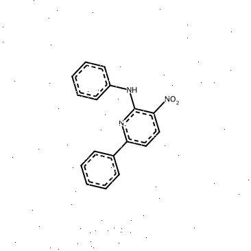 O=[N+]([O-])c1ccc(-c2ccccc2)nc1Nc1ccccc1